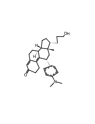 CN(C)c1ccc([C@H]2C[C@@]3(C)[C@@H](CCCO)CC[C@H]3[C@@H]3CCC4=CC(=O)CCC4=C32)cc1